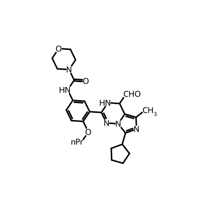 CCCOc1ccc(NC(=O)N2CCOCC2)cc1C1=Nn2c(C3CCCC3)nc(C)c2C(C=O)N1